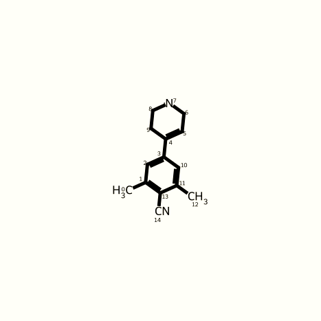 Cc1cc(C2=CC[N]CC2)cc(C)c1C#N